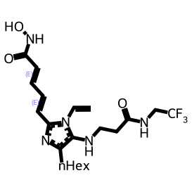 C=Cn1c(/C=C/C=C/C(=O)NO)nc(CCCCCC)c1NCCC(=O)NCC(F)(F)F